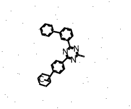 Cc1nc(-c2ccc(C3CC4CCC3CC4)cc2)nc(-c2cccc(-c3ccccc3)c2)n1